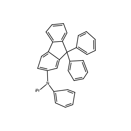 CC(C)N(c1ccccc1)c1ccc2c(c1)C(c1ccccc1)(c1ccccc1)c1ccccc1-2